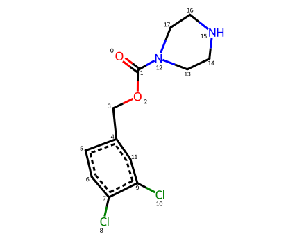 O=C(OCc1ccc(Cl)c(Cl)c1)N1CCNCC1